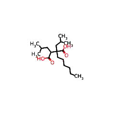 CCCCCCC(CC(C)C)(C(=O)O)C(CC(C)C)C(=O)O